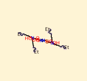 CC/C=C\C/C=C\C/C=C\CCCCCCC(O)CN(CCCCSSCCN1CCN(CCOC(=O)CCCCN(CC(O)CCCCCC/C=C\C/C=C\C/C=C\CC)CC(O)CCCCCC/C=C\C/C=C\C/C=C\CC)CC1)CC(O)CCCCCC/C=C\C/C=C\C/C=C\CC